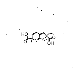 CCC1(C(=O)O)C=C2C=CC(C)(C(=O)O)N=C2N1